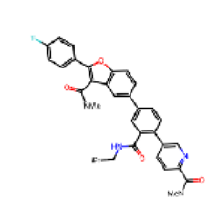 CNC(=O)c1ccc(-c2ccc(-c3ccc4oc(-c5ccc(F)cc5)c(C(=O)NC)c4c3)cc2C(=O)NCC(C)C)cn1